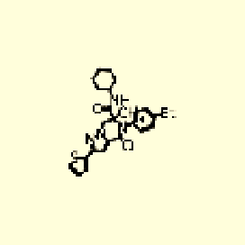 CCc1ccc(N2C(=O)c3cc(-c4cccs4)nn3CC2(C)C(=O)NC2CCCCC2)cc1